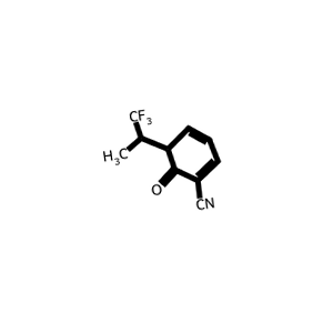 CC(C1C=CC=C(C#N)C1=O)C(F)(F)F